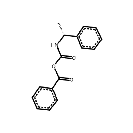 C[C@@H](NC(=O)OC(=O)c1ccccc1)c1ccccc1